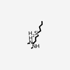 CCCC[SiH2]CCCC(NC)NC